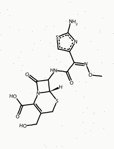 CO/N=C(\C(=O)NC1C(=O)N2C(C(=O)O)=C(CO)CS[C@@H]12)c1csc(N)n1